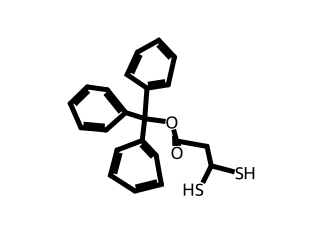 O=C(CC(S)S)OC(c1ccccc1)(c1ccccc1)c1ccccc1